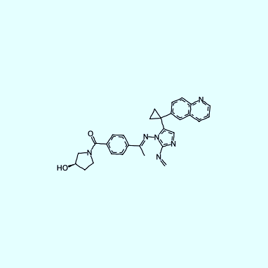 C=Nc1ncc(C2(c3ccc4ncccc4c3)CC2)n1/N=C(\C)c1ccc(C(=O)N2CC[C@@H](O)C2)cc1